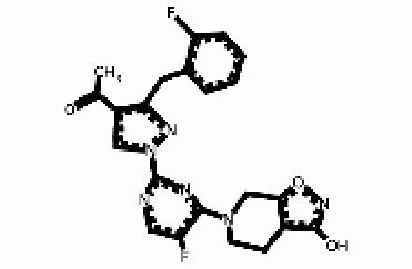 CC(=O)c1cn(-c2ncc(F)c(N3CCc4c(O)noc4C3)n2)nc1Cc1ccccc1F